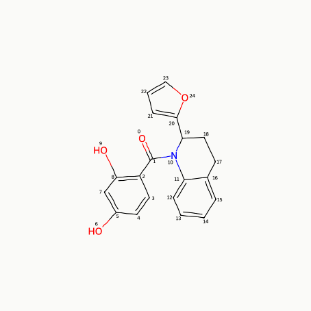 O=C(c1ccc(O)cc1O)N1c2ccccc2CCC1c1ccco1